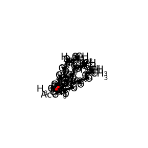 CC(=O)OC(COC(=O)CCC(=O)OC(COC(=O)CCC(=O)OCC[N+](C)(C)C)COC(=O)CCC(=O)OCC[N+](C)(C)C)COC(=O)CCC(=O)OC(COC(=O)CCC(=O)OCC[N+](C)(C)C)COC(=O)CCC(=O)OCC[N+](C)(C)C